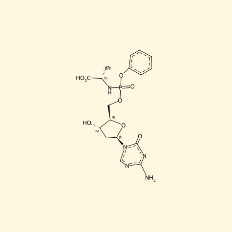 CC(C)[C@H](NP(=O)(OC[C@H]1O[C@@H](n2cnc(N)nc2=O)C[C@@H]1O)Oc1ccccc1)C(=O)O